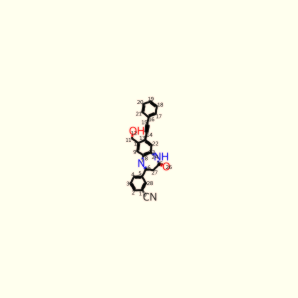 N#Cc1cccc(C2=Nc3cc(CO)c(C#Cc4ccccc4)cc3NC(=O)C2)c1